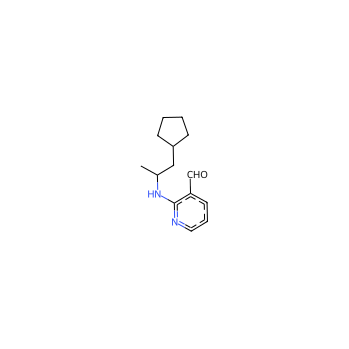 CC(CC1CCCC1)Nc1ncccc1C=O